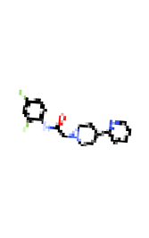 O=C(CN1CCC(c2ccccn2)CC1)Nc1ccc(F)cc1F